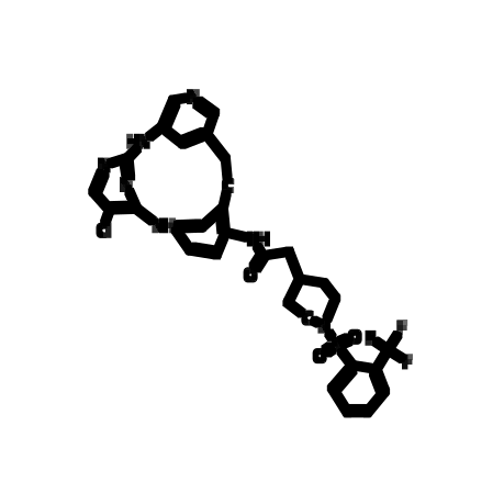 O=C(CC1CCN(S(=O)(=O)c2ccccc2C(F)(F)F)CC1)Nc1ccc2cc1CCc1cncc(c1)Nc1ncc(Cl)c(n1)N2